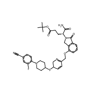 CC(C)(C)OC(=O)CC[C@@H](C(N)=O)N1Cc2c(OCC3=NCC(SC4CCN(c5ccc(C#N)cc5F)CC4)C=C3)cccc2C1=O